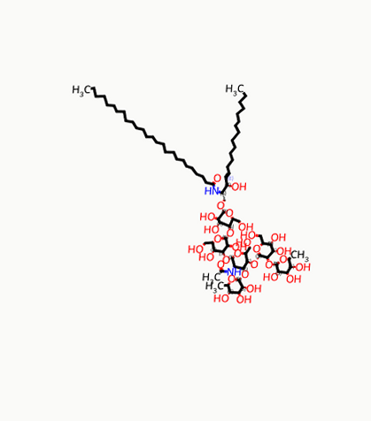 CCCCCCCCCCCCC/C=C/[C@@H](O)[C@H](CO[C@@H]1OC(CO)[C@@H](O[C@@H]2OC(CO)[C@H](O)[C@H](O[C@@H]3OC(CO)[C@@H](O[C@@H]4OC(CO)[C@H](O)[C@H](O)C4O[C@H]4OC(C)[C@@H](O)C(O)[C@@H]4O)[C@H](O[C@H]4OC(C)[C@@H](O)C(O)[C@@H]4O)C3NC(C)=O)C2O)[C@H](O)C1O)NC(=O)CCCCCCCCCCCCCCCCCCCCCCCCC